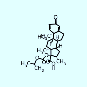 CC(C)OC(=O)O[C@]1(C(=O)O)[C@@H](C)C[C@H]2[C@@H]3CCC4=CC(=O)C=C[C@]4(C)[C@@]3(F)[C@@H](O)C[C@@]21C